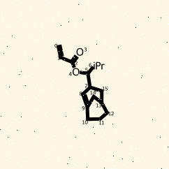 C=CC(=O)OC(C(C)C)C1C=C2CCCC(C2)C1